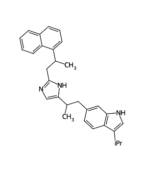 CC(C)c1c[nH]c2cc(CC(C)c3cnc(CC(C)c4cccc5ccccc45)[nH]3)ccc12